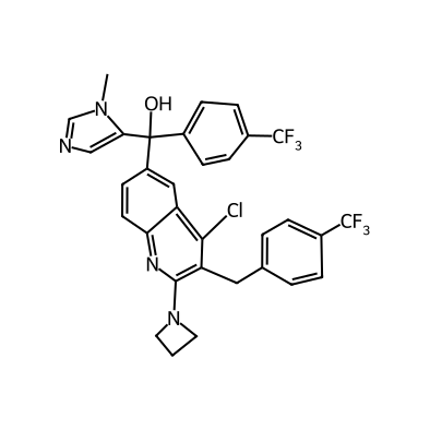 Cn1cncc1C(O)(c1ccc(C(F)(F)F)cc1)c1ccc2nc(N3CCC3)c(Cc3ccc(C(F)(F)F)cc3)c(Cl)c2c1